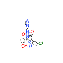 C[C@@]12Cc3c([nH]c4ccc(Cl)cc34)[C@@H](c3cccc(O)c3)N1C(=O)N(CCn1ccnc1)C2=O